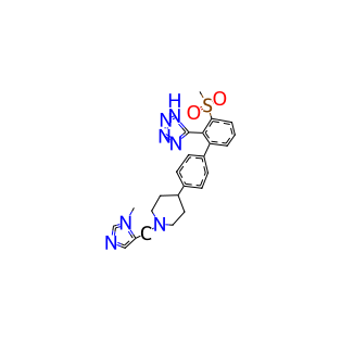 Cn1cncc1CN1CCC(c2ccc(-c3cccc(S(C)(=O)=O)c3-c3nnn[nH]3)cc2)CC1